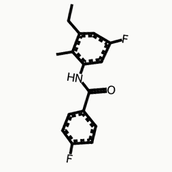 CCc1cc(F)cc(NC(=O)c2ccc(F)cc2)c1C